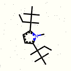 CCC(C)(c1ccc(C(C)(CC)C(C)(C)C)n1C)C(C)(C)C